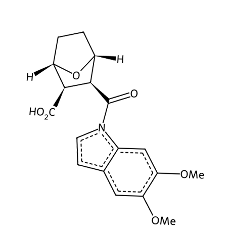 COc1cc2ccn(C(=O)[C@H]3[C@@H](C(=O)O)[C@@H]4CC[C@H]3O4)c2cc1OC